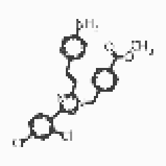 COC(=O)c1ccc(Cn2cc(-c3ccc(Cl)cc3Cl)nc2/C=C/c2ccc(N)cc2)cc1